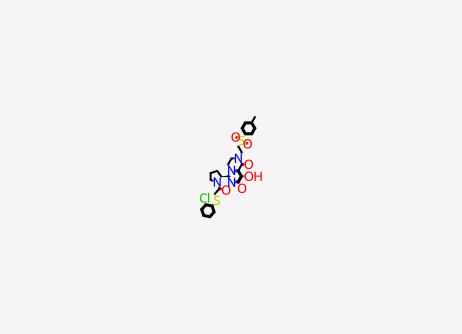 Cc1ccc(S(=O)(=O)CCN2CCn3c([C@@H]4CCCN4C(=O)CSc4ccccc4Cl)nc(=O)c(O)c3C2=O)cc1